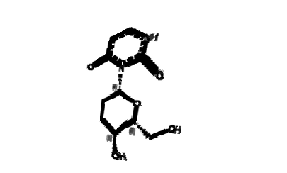 O=c1cc[nH]c(=O)n1[C@H]1CC[C@H](O)[C@@H](CO)O1